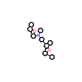 c1ccc(-c2cccc3c2oc2c4ccccc4c(-c4ccc(N(c5ccccc5)c5cccc6c5oc5c7ccccc7ccc65)cc4)cc32)cc1